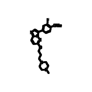 COc1ccc(-c2cnc3ccc(OCCCN4CCN(C)CC4)nn23)cc1F